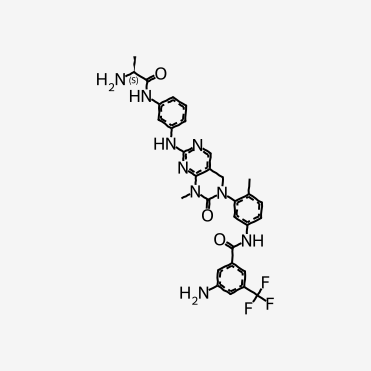 Cc1ccc(NC(=O)c2cc(N)cc(C(F)(F)F)c2)cc1N1Cc2cnc(Nc3cccc(NC(=O)[C@H](C)N)c3)nc2N(C)C1=O